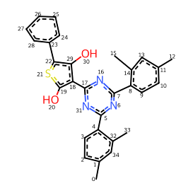 Cc1ccc(-c2nc(-c3ccc(C)cc3C)nc(-c3c(O)sc(-c4ccccc4)c3O)n2)c(C)c1